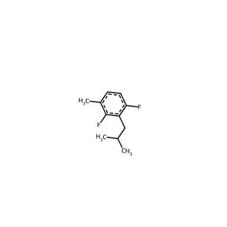 Cc1ccc(F)c(CC(C)C)c1F